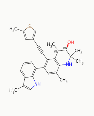 Cc1cc(C#Cc2c(-c3cccc4c(C)c[nH]c34)cc(C)c3c2[C@H](C)[C@@H](O)C(C)(C)N3)cs1